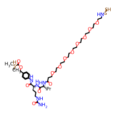 CC(C)[C@H](NC(=O)CCOCCOCCOCCOCCOCCOCCOCCOCCNSS)C(=O)N[C@@H](CCCNC(N)=O)C(=O)Nc1ccc(COC(=O)[SH](C)C)cc1